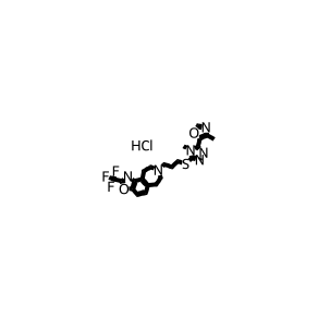 Cc1ncoc1-c1nnc(SCCCN2CCc3ccc4oc(C(F)(F)F)nc4c3CC2)n1C.Cl